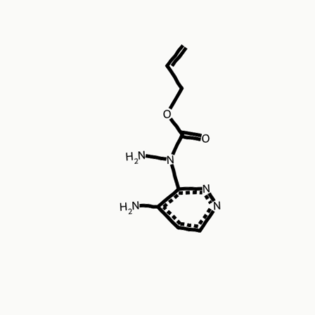 C=CCOC(=O)N(N)c1nnccc1N